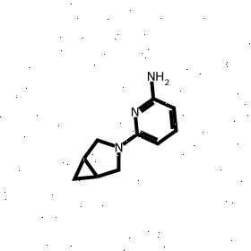 Nc1cccc(N2CC3CC3C2)n1